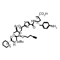 C#CCCCON(C(=O)[C@@H](NC(=O)[C@H]1CCCCN1C)[C@@H](C)CC)[C@H](C[C@@H](OC(C)=O)c1nc(C(=O)N[C@@H](Cc2ccc(N)cc2)C[C@H](C)C(=O)O)cs1)C(=C)C